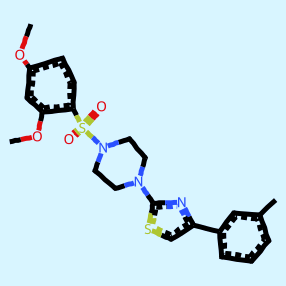 COc1ccc(S(=O)(=O)N2CCN(c3nc(-c4cccc(C)c4)cs3)CC2)c(OC)c1